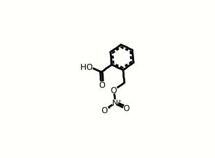 O=C(O)c1ccccc1CO[N+](=O)[O-]